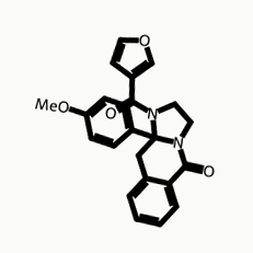 COc1ccc(C23Cc4ccccc4C(=O)N2CCN3C(=O)c2ccoc2)cc1